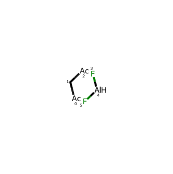 CC(=O)CC(C)=O.[F][AlH][F]